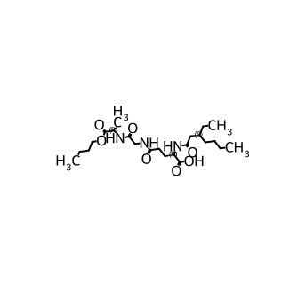 CCCCOC(=O)[C@@H](C)NC(=O)CNC(=O)CC[C@@H](NC(=O)C[C@@H](CC)CCCC)C(=O)O